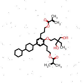 C=C(C)C(=O)OCCCc1cc(C2CCC(C3CCCCC3)CC2)cc(CCCOC(=O)C(=C)C)c1OCCC(CC)(CO)CO